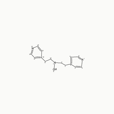 ON(CCc1ccncc1)CCc1ccncc1